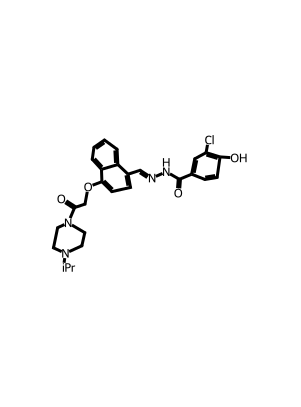 CC(C)N1CCN(C(=O)COc2ccc(/C=N/NC(=O)c3ccc(O)c(Cl)c3)c3ccccc23)CC1